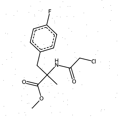 COC(=O)C(C)(Cc1ccc(F)cc1)NC(=O)CCl